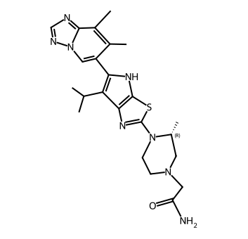 Cc1c(-c2[nH]c3sc(N4CCN(CC(N)=O)C[C@H]4C)nc3c2C(C)C)cn2ncnc2c1C